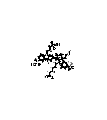 COCCC1(C)C(/C=C/C=C2/N(CCCS(=O)(=O)O)c3ccc(S(=O)(=O)O)cc3C2(C)CCCS(=O)(=O)O)=[N+](CCCCCC(=O)O)c2ccc(S(=O)(=O)[O-])cc21